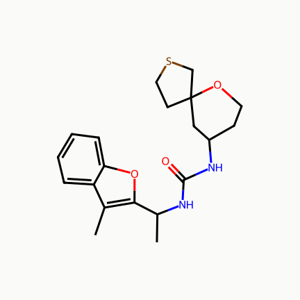 Cc1c(C(C)NC(=O)NC2CCOC3(CCSC3)C2)oc2ccccc12